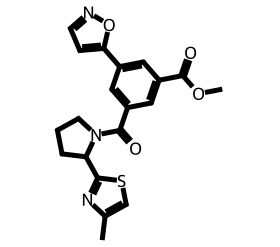 COC(=O)c1cc(C(=O)N2CCCC2c2nc(C)cs2)cc(-c2ccno2)c1